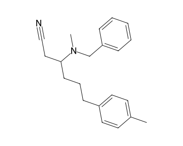 Cc1ccc(CCCC(CC#N)N(C)Cc2ccccc2)cc1